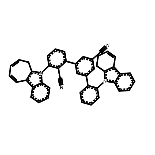 N#Cc1cc(-c2ccccc2-n2c3c(c4ccccc42)C=CCC3)cc(-c2cccc(-n3c4c(c5ccccc53)C=CC=CC4)c2C#N)c1